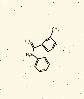 C=C([SiH2]c1ccccc1)c1cccc(C)c1